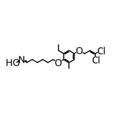 CCc1cc(OCC=C(Cl)Cl)cc(C)c1OCCCCCC=NO